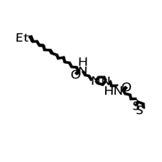 CC/C=C/C/C=C/C/C=C/CCCCCCCC(=O)NCCCN1CCN(CCCNC(=O)CCCC[C@@H]2CCSS2)CC1